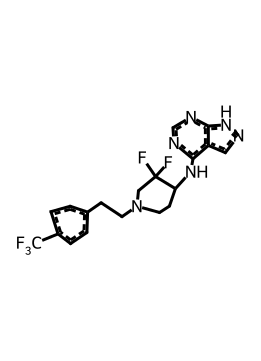 FC(F)(F)c1ccc(CCN2CCC(Nc3ncnc4[nH]ncc34)C(F)(F)C2)cc1